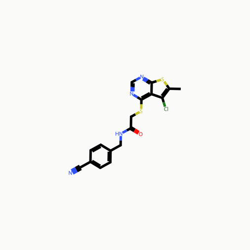 Cc1sc2ncnc(SCC(=O)NCc3ccc(C#N)cc3)c2c1Cl